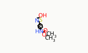 CC(C)OC(=O)NC12CCC(c3ncc(O)s3)(CC1)CC2